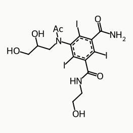 CC(=O)N(CC(O)CO)c1c(I)c(C(N)=O)c(I)c(C(=O)NCCO)c1I